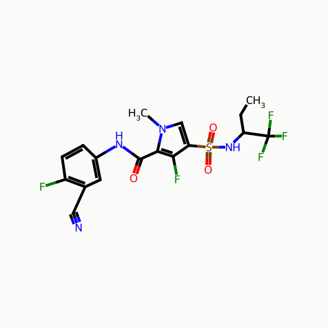 CCC(NS(=O)(=O)c1cn(C)c(C(=O)Nc2ccc(F)c(C#N)c2)c1F)C(F)(F)F